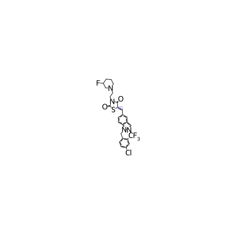 O=C1S/C(=C\c2ccc3c(cnn3Cc3ccc(Cl)cc3C(F)(F)F)c2)C(=O)N1CCN1CCCC(F)C1